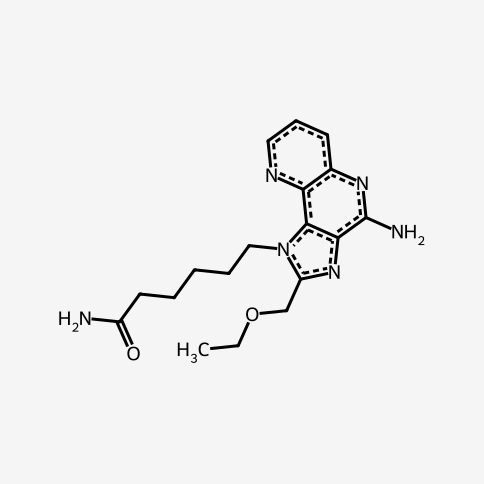 CCOCc1nc2c(N)nc3cccnc3c2n1CCCCCC(N)=O